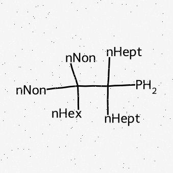 CCCCCCCCCC(CCCCCC)(CCCCCCCCC)C(P)(CCCCCCC)CCCCCCC